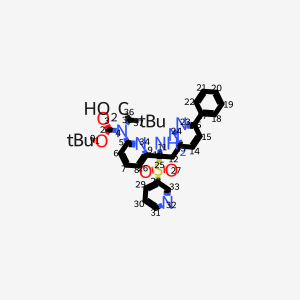 CC(C)(C)OC(=O)N(c1cccc(C(N)(Cc2ccc(-c3ccccc3)nn2)S(=O)(=O)c2cccnc2)n1)C(C(=O)O)C(C)(C)C